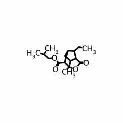 CCC1C2CC3C1C(=O)OC3(C)C2C(=O)OCC(C)C